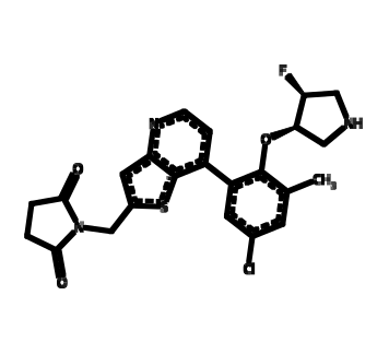 Cc1cc(Cl)cc(-c2ccnc3cc(CN4C(=O)CCC4=O)sc23)c1O[C@@H]1CNC[C@@H]1F